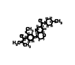 CCc1cc(N2CCOc3cc(C(=O)N4CCC(C)CC4)cnc32)ccc1C(=O)C(C)C